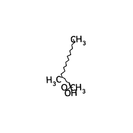 CCCCCCCCCCCCCC(C)CCC=C(C)C(=O)O